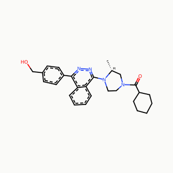 C[C@@H]1CN(C(=O)C2CCCCC2)CCN1c1nnc(-c2ccc(CO)cc2)c2ccccc12